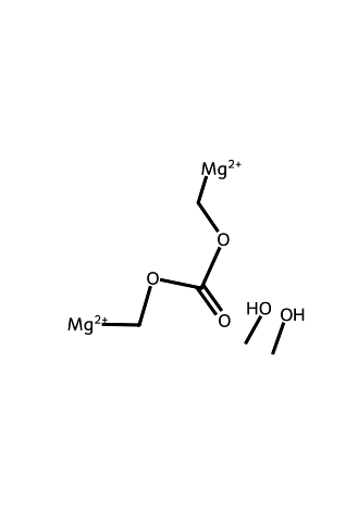 CO.CO.O=C(O[CH2][Mg+2])O[CH2][Mg+2]